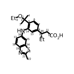 CCOC(C)(C)c1ccc([C@H](CC)CC(=O)O)cc1Nc1ccc2nc(C)sc2c1